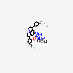 CCCCNC(=O)Nc1cc2c3c(c1)C(c1ccc(C)cc1)CCN3CCC2c1ccc(C)cc1